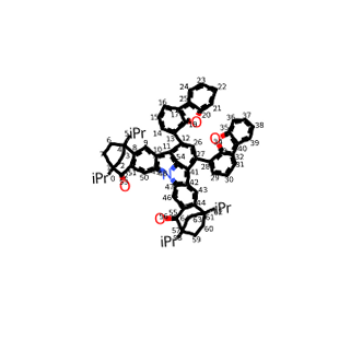 CC(C)C12CCC(C(C)C)(CC1)c1cc3c4c(-c5cccc6c5oc5ccccc56)cc(-c5cccc6c5oc5ccccc56)c5c6cc7c(cc6n(c3cc1C2=O)c45)C(=O)C1(C(C)C)CCC7(C(C)C)CC1